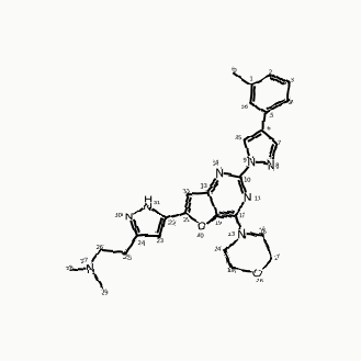 Cc1cccc(-c2cnn(-c3nc(N4CCOCC4)c4oc(-c5cc(CCN(C)C)n[nH]5)cc4n3)c2)c1